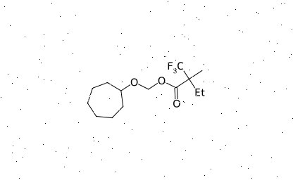 CCC(C)(C(=O)OCOC1CCCCCC1)C(F)(F)F